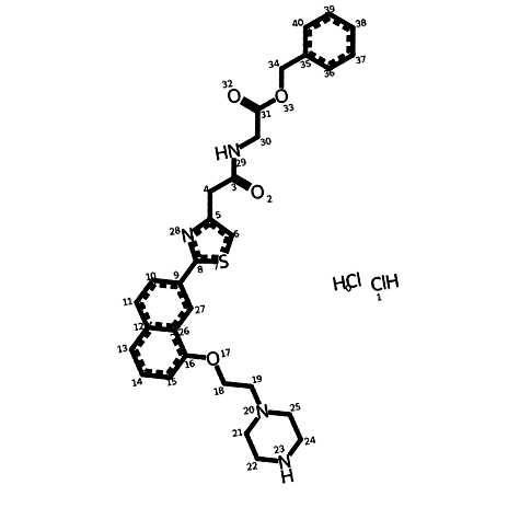 Cl.Cl.O=C(Cc1csc(-c2ccc3cccc(OCCN4CCNCC4)c3c2)n1)NCC(=O)OCc1ccccc1